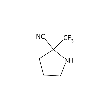 N#CC1(C(F)(F)F)CCCN1